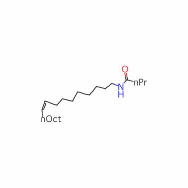 CCCCCCCC/C=C\CCCCCCCCNC(=O)CCC